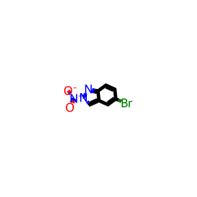 O=[N+]([O-])n1cc2cc(Br)ccc2n1